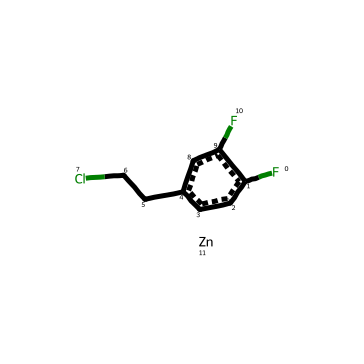 Fc1ccc(CCCl)cc1F.[Zn]